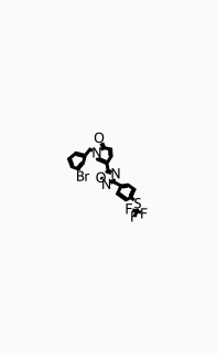 O=c1ccc(-c2nc(-c3ccc(SC(F)(F)F)cc3)no2)cn1Cc1cccc(Br)c1